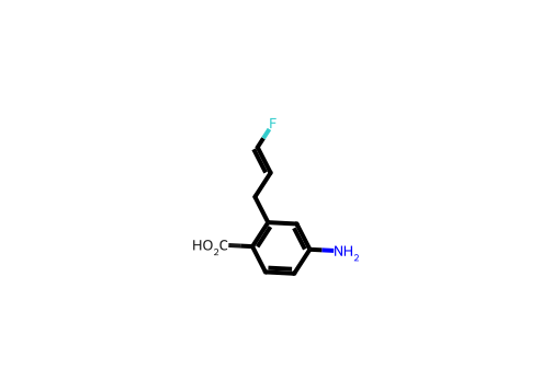 Nc1ccc(C(=O)O)c(CC=CF)c1